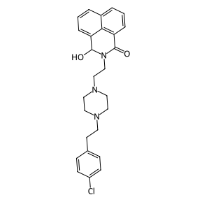 O=C1c2cccc3cccc(c23)C(O)N1CCN1CCN(CCc2ccc(Cl)cc2)CC1